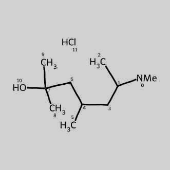 CNC(C)CC(C)CC(C)(C)O.Cl